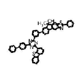 CC1(C)c2cc(-c3cccc(-c4nc(-c5ccc(-c6ccccc6)cc5)nc(-c5cccc6c5sc5ccccc56)n4)c3)ccc2-c2cc3nc(-c4ccccc4)sc3cc21